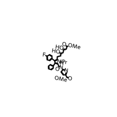 COC(=O)C[C@H](O)C[C@H](O)CCc1c(-c2ccc(F)cc2)c(-c2ccccc2)c(C(=O)Nc2ccc(C(=O)OC)cn2)n1C(C)C